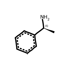 C[C@H](N)c1c[c]ccc1